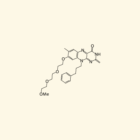 C=c1nc2c(c(=O)[nH]1)=Nc1cc(C)c(OCCOCCOCCOC)cc1N2CCCc1ccccc1